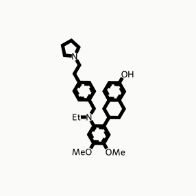 CCN(Cc1ccc(CCN2CCCC2)cc1)c1cc(OC)c(OC)cc1C1CCc2cc(O)ccc2C1